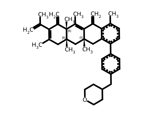 C=C(C)C1=C(C)C[C@@]2(C)C[C@@]3(C)Cc4c(-c5ccc(CC6CCOCC6)cc5)ccc(C)c4C(=C)C3=C(C)[C@@]2(C)C1=C